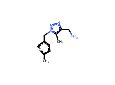 Cc1ccc(Cn2nnc(CN)c2C)cc1